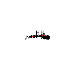 NCCCNCCCCNCCCNS(=O)(=O)c1ccc2ccccc2c1